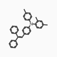 Cc1ccc(N(c2ccc(C=C(c3ccccc3)c3ccccc3)cc2)c2ccc(C)cc2C)cc1